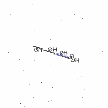 CCC(O)CCCCCCC(O)C/C=C/C=C/C(O)=C/C=C/C=C/C(=O)O